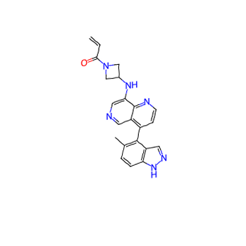 C=CC(=O)N1CC(Nc2cncc3c(-c4c(C)ccc5[nH]ncc45)ccnc23)C1